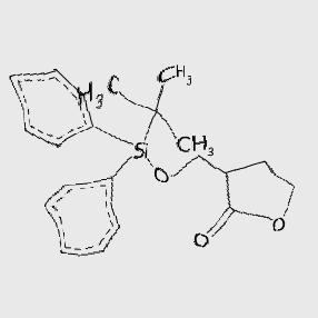 CC(C)(C)[Si](OCC1CCOC1=O)(c1ccccc1)c1ccccc1